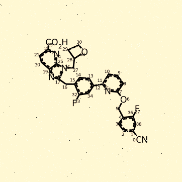 N#Cc1ccc(COc2cccc(-c3ccc(Cc4nc5ccc(C(=O)O)nc5n4CC4CCO4)c(F)c3)n2)c(F)c1